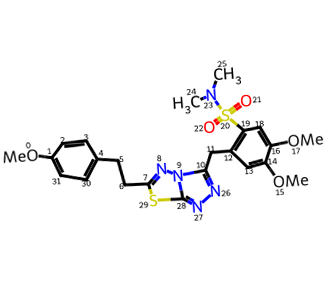 COc1ccc(CCc2nn3c(Cc4cc(OC)c(OC)cc4S(=O)(=O)N(C)C)nnc3s2)cc1